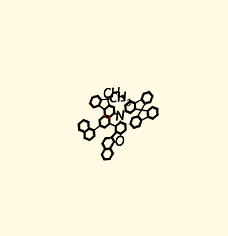 CC1(C)c2ccccc2-c2ccc(N(c3ccc4c(c3)C3(c5ccccc5-c5ccccc53)c3ccccc3-4)c3ccc4oc5c6ccccc6ccc5c4c3-c3cccc(-c4cccc5ccccc45)c3)cc21